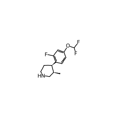 C[C@H]1CNCC[C@H]1c1ccc(OC(F)F)cc1F